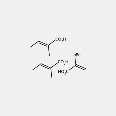 C/C=C(\C)C(=O)O.C/C=C(\C)C(=O)O.C=C(CCCC)C(=O)O